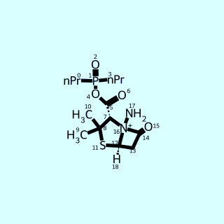 CCCP(=O)(CCC)OC(=O)[C@H]1C(C)(C)S[C@@H]2CC(=O)[N+]21N